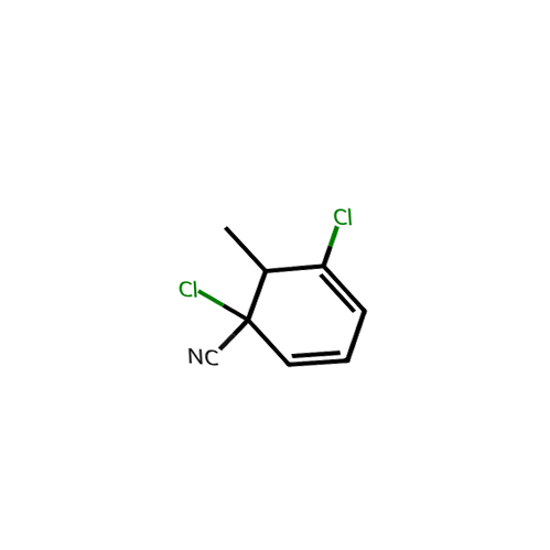 CC1C(Cl)=CC=CC1(Cl)C#N